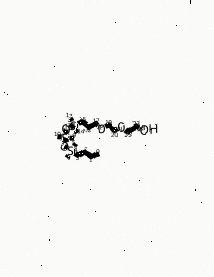 CCCC[Si](C)(C)O[Si](C)(C)O[Si](C)(C)CCCOCCOCCO